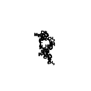 CCn1c(-c2cccnc2[C@H](C)OC)c2c3cc(ccc31)-c1csc(n1)C[C@H](NC(=O)[C@H](C(C)C)N(C)C(=O)N1CCCC3(CN(C)C3)C1)C(=O)N1CCC[C@@](O)(N1)C(=O)OCC(C)(C)C2